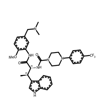 COc1ccc(CN(C)C)cc1NC(=O)[C@H](NC(=O)N1CCN(c2ccc(C(F)(F)F)cc2)CC1)[C@H](C)c1c[nH]c2ccccc12